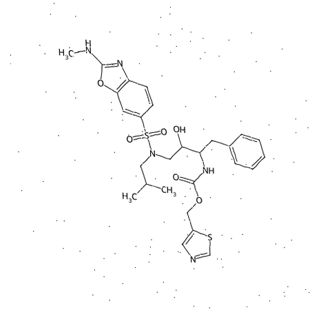 CNc1nc2ccc(S(=O)(=O)N(CC(C)C)CC(O)C(Cc3ccccc3)NC(=O)OCc3cncs3)cc2o1